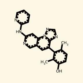 Cc1ccc(O)c(C)c1-c1cc2cnc(Nc3ccccn3)cc2n2ncnc12